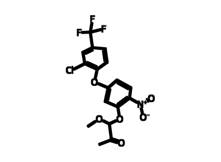 COC(Oc1cc(Oc2ccc(C(F)(F)F)cc2Cl)ccc1[N+](=O)[O-])C(C)=O